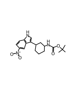 CC(C)(C)OC(=O)NC1CCCC(c2c[nH]c3ccc([N+](=O)[O-])cc23)C1